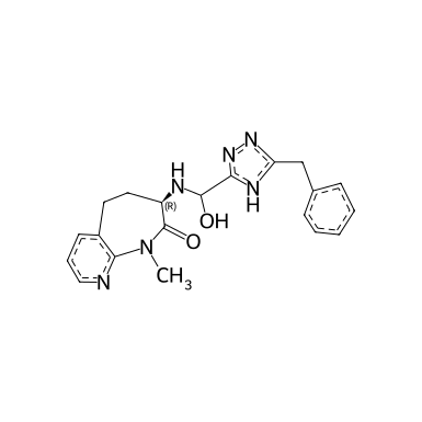 CN1C(=O)[C@H](NC(O)c2nnc(Cc3ccccc3)[nH]2)CCc2cccnc21